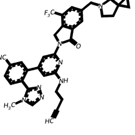 C#CCCNc1cc(-c2cc(C#N)ccc2-c2nncn2C)cc(N2Cc3c(cc(CN4CCC5(CC5)C4)cc3C(F)(F)F)C2=O)n1